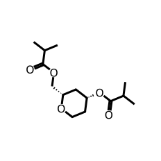 CC(C)C(=O)OC[C@@H]1C[C@H](OC(=O)C(C)C)CCO1